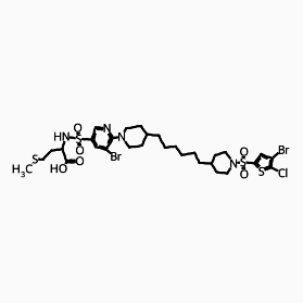 CSCCC(NS(=O)(=O)c1cnc(N2CCC(CCCCCCC3CCN(S(=O)(=O)c4cc(Br)c(Cl)s4)CC3)CC2)c(Br)c1)C(=O)O